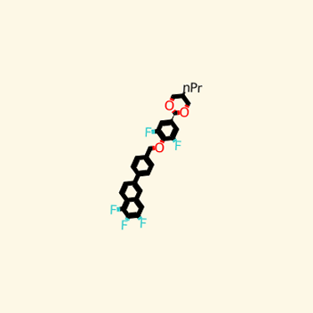 CCC[C@H]1CO[C@H](c2cc(F)c(OCc3ccc(-c4ccc5c(F)c(F)c(F)cc5c4)cc3)c(F)c2)OC1